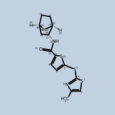 Cc1csc(Sc2ccc(C(=O)N[C@@H]3C[C@H]4CC[C@@H]3N4)s2)n1